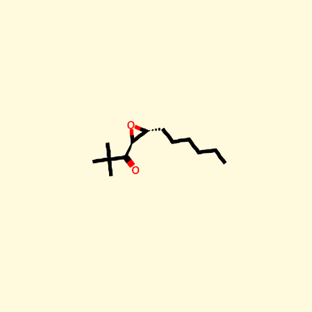 CCCCCC[C@H]1O[C@@H]1C(=O)C(C)(C)C